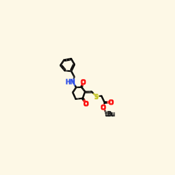 CC(C)(C)OC(=O)CSC=C1C(=O)CCC(NCc2ccccc2)C1=O